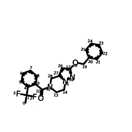 CC(F)(F)c1ccccc1C(=O)N1CCn2nc(OCc3ccccc3)cc2C1